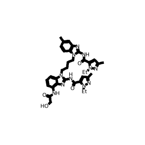 CCn1nc(C)cc1C(=O)Nc1nc2cc(C)ccc2n1CCCCn1c(NC(=O)c2cc(C)nn2CC)nc2c(NC(=O)CO)cccc21